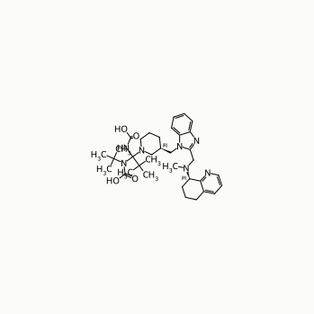 CN(Cc1nc2ccccc2n1C[C@@H]1CCCN(C(NC(=O)O)(N(C(=O)O)C(C)(C)C)C(C)(C)C)C1)[C@@H]1CCCc2cccnc21